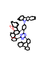 c1ccc(-c2nc(-c3ccc(-n4c5ccccc5c5cc6ccccc6cc54)cc3-c3cc4ccccc4c4oc5ccccc5c34)nc(-c3cccc4c5ccccc5c5ccccc5c34)n2)cc1